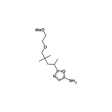 COCCOCC(C)(C)CC(C)c1ncc(N)o1